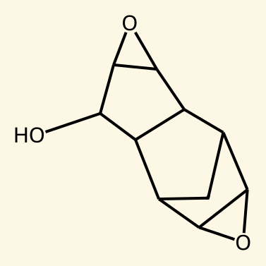 OC1C2OC2C2C3CC(C4OC34)C12